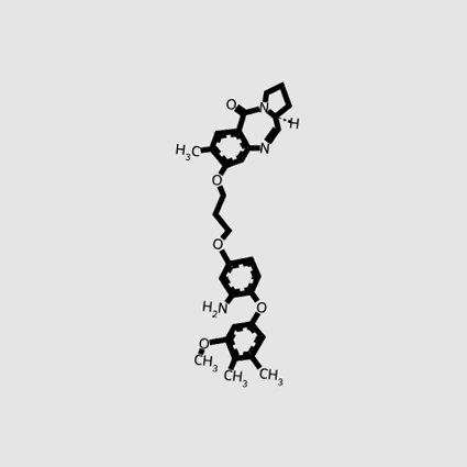 COc1cc(Oc2ccc(OCCCOc3cc4c(cc3C)C(=O)N3CCC[C@H]3C=N4)cc2N)cc(C)c1C